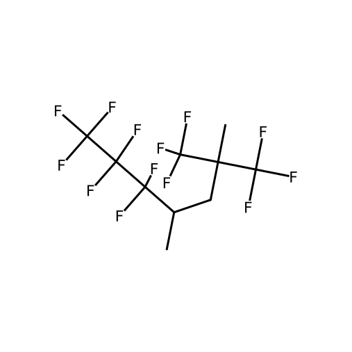 CC(CC(C)(C(F)(F)F)C(F)(F)F)C(F)(F)C(F)(F)C(F)(F)F